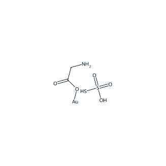 NCC(=O)[O][Au].O=S(=O)(O)S